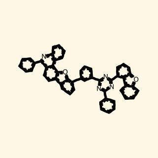 c1ccc(-c2nc(-c3cccc(-c4cccc5c4oc4c5ccc5c(-c6ccccc6)nc6ccccc6c54)c3)nc(-c3cccc4oc5ccccc5c34)n2)cc1